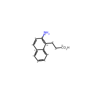 Nc1ccc2ccccc2c1CCC(=O)O